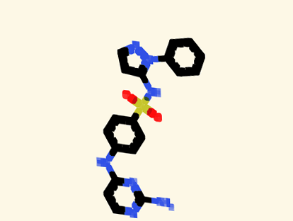 Nc1nccc(Nc2ccc(S(=O)(=O)Nc3ccnn3-c3ccccc3)cc2)n1